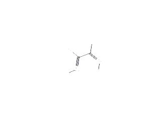 CCC(C)C(=N/O)/C(N)=N/O